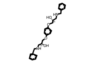 O[C@H](CNCc1ccccc1)COc1ccc(OC[C@@H](O)CNCc2ccccc2)cc1